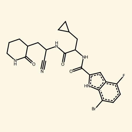 N#CC(CC1CCCNC1=O)NC(=O)C(CC1CC1)NC(=O)c1cc2c(F)ccc(Br)c2[nH]1